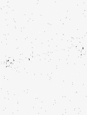 CCN1C(=O)N[C@H]2CS[C@@H](CCCCC(=O)NCCOCCOCCOCCOCCC(=O)ON3C(=O)CCC3=O)[C@H]21